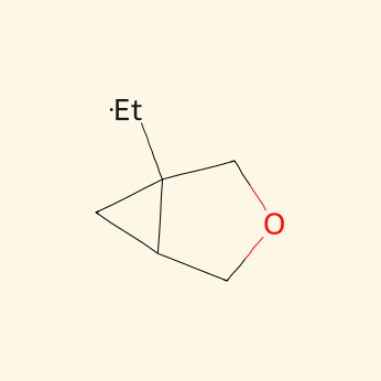 C[CH]C12COCC1C2